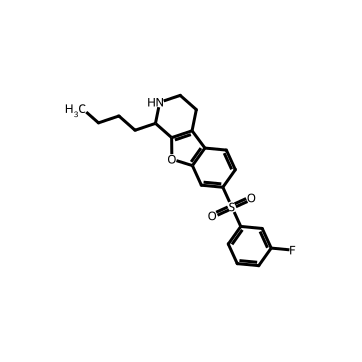 CCCCC1NCCc2c1oc1cc(S(=O)(=O)c3cccc(F)c3)ccc21